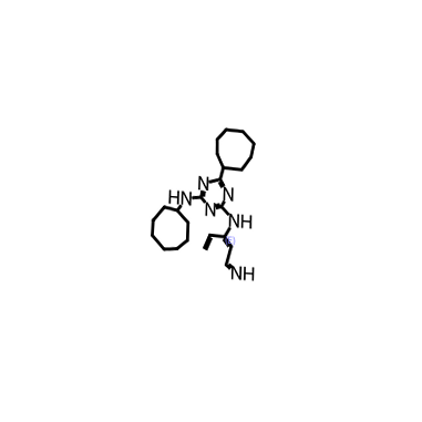 C=C/C(=C\C=N)Nc1nc(NC2CCCCCCC2)nc(C2CCCCCCC2)n1